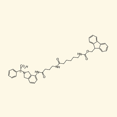 O=C(CCCCCNC(=O)OCC1c2ccccc2-c2ccccc21)NCCCC(=O)Nc1cccc2c1CN([C@H](C(=O)O)c1ccccc1)C2